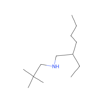 CCCCC(CC)CNCC(C)(C)C